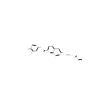 C=CC(=O)OCCOc1ccc2cc(C(=O)Oc3ccc(O)c(C)c3)ccc2c1